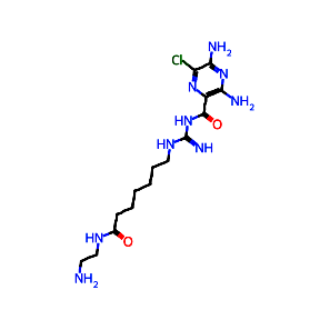 N=C(NCCCCCCC(=O)NCCN)NC(=O)c1nc(Cl)c(N)nc1N